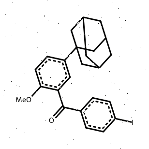 COc1ccc(C23CC4CC(CC(C4)C2)C3)cc1C(=O)c1ccc(I)cc1